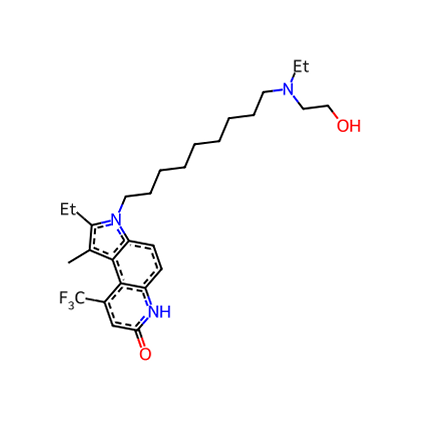 CCc1c(C)c2c3c(C(F)(F)F)cc(=O)[nH]c3ccc2n1CCCCCCCCCN(CC)CCO